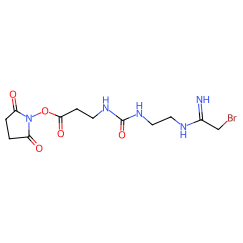 N=C(CBr)NCCNC(=O)NCCC(=O)ON1C(=O)CCC1=O